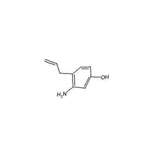 C=CCc1ccc(O)cc1N